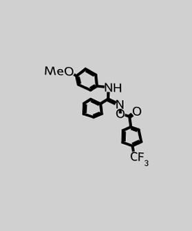 COc1ccc(N/C(=N/OC(=O)c2ccc(C(F)(F)F)cc2)c2ccccc2)cc1